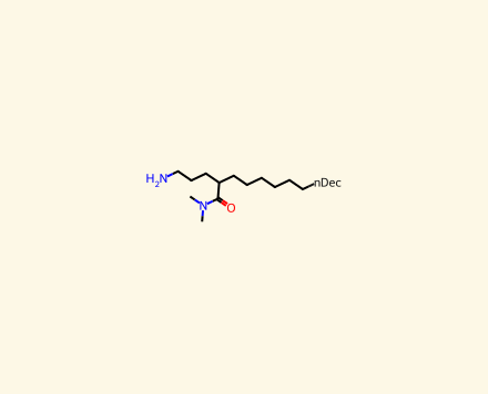 CCCCCCCCCCCCCCCCC(CCCN)C(=O)N(C)C